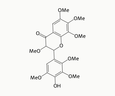 COc1cc(C2Oc3c(cc(OC)c(OC)c3OC)C(=O)C2OC)c(OC)c(OC)c1O